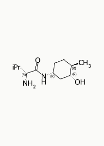 CC(C)[C@@H](N)C(=O)N[C@@H]1CC[C@@H](C)[C@H](O)C1